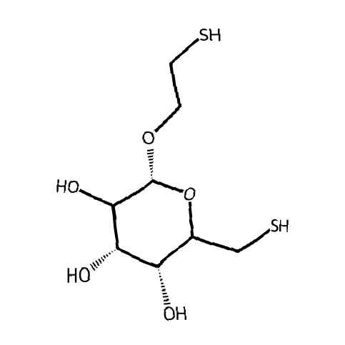 OC1[C@H](OCCS)OC(CS)[C@H](O)[C@@H]1O